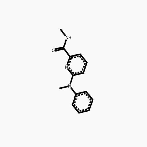 CNC(=O)c1cccc(N(C)c2ccccc2)n1